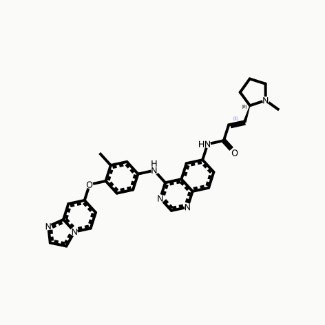 Cc1cc(Nc2ncnc3ccc(NC(=O)/C=C/[C@H]4CCCN4C)cc23)ccc1Oc1ccn2ccnc2c1